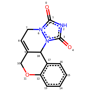 O=c1[nH]c(=O)n2n1CC=C1COc3ccccc3C12